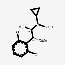 CO[C@H](c1c(Cl)cccc1Cl)[C@@H](C)N(C1CC1)S(=O)(=O)O